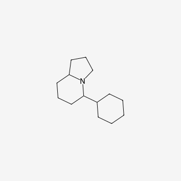 C1CCC(C2CCCC3CCCN32)CC1